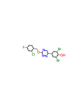 Oc1c(Br)cc(-c2cnc(OCc3ccc(F)cc3Cl)nn2)cc1Br